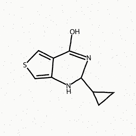 OC1=NC(C2CC2)Nc2cscc21